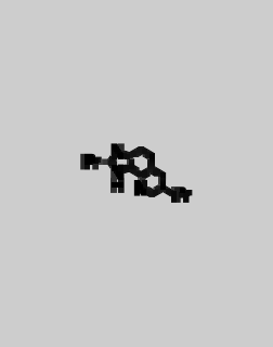 CC(C)c1cnc2c(ccc3nc(C(C)C)[nH]c32)c1